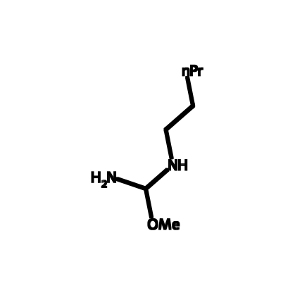 CCCCCNC(N)OC